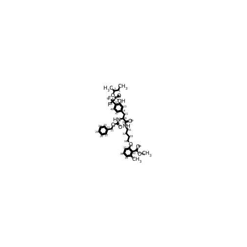 CCC(C)OP(=O)(O)C(F)(F)c1ccc(CC(NC(=O)OCc2ccccc2)C(=O)NCCCCOc2cccc(C)c2C(=O)OC)cc1